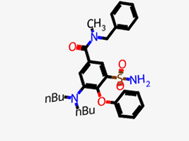 CCCCN(CCCC)c1cc(C(=O)N(C)Cc2ccccc2)cc(S(N)(=O)=O)c1Oc1ccccc1